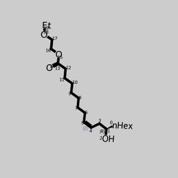 CCCCCC[C@@H](O)C/C=C\CCCCCCCC(=O)OCCOCC